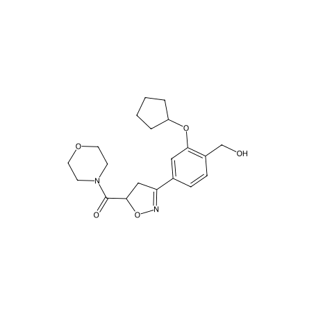 O=C(C1CC(c2ccc(CO)c(OC3CCCC3)c2)=NO1)N1CCOCC1